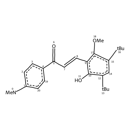 CNc1ccc(C(=O)/C=C/c2c(O)c(C(C)(C)C)cc(C(C)(C)C)c2OC)cc1